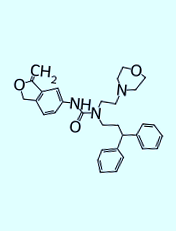 C=C1OCc2ccc(NC(=O)N(CCC(c3ccccc3)c3ccccc3)CCN3CCOCC3)cc21